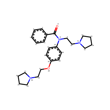 O=C(c1cc[c]cc1)N(CCN1CCCC1)c1ccc(OCCN2CCCC2)cc1